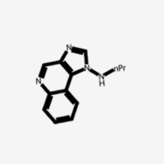 CCCNn1cnc2cnc3ccccc3c21